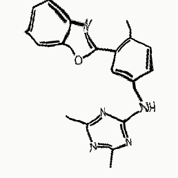 Cc1nc(C)nc(Nc2ccc(C)c(-c3nc4ccccc4o3)c2)n1